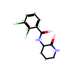 O=C(NC1CCCNC1=O)c1cccc(F)c1F